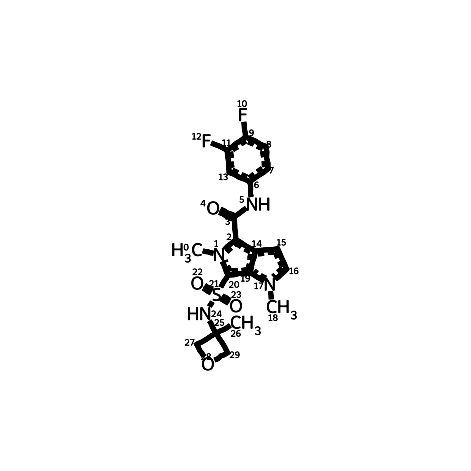 Cn1c(C(=O)Nc2ccc(F)c(F)c2)c2ccn(C)c2c1S(=O)(=O)NC1(C)COC1